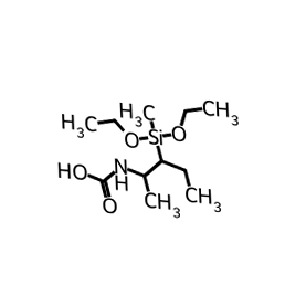 CCO[Si](C)(OCC)C(CC)C(C)NC(=O)O